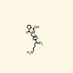 NCCCC[C@H](N)c1noc(CNC(=O)N2CCC[C@@H]2C(=O)O)n1